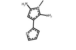 Cn1c(N)cc(-c2cccs2)c1N